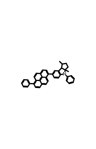 CC1CCC2(C)C1c1cc(-c3ccc4ccc5c(-c6ccccc6)ccc6ccc3c4c65)ccc1N2c1ccccc1